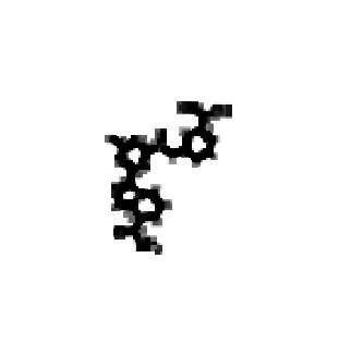 Cc1nc(NCc2cccc(B(O)O)c2)nc(-c2ncc3c(C(N)=O)cccn23)n1